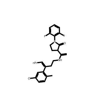 C=C(NCC/C(=C/CCC)c1cc(Cl)ccc1C)C1CCN(c2c(F)cccc2F)C1=O